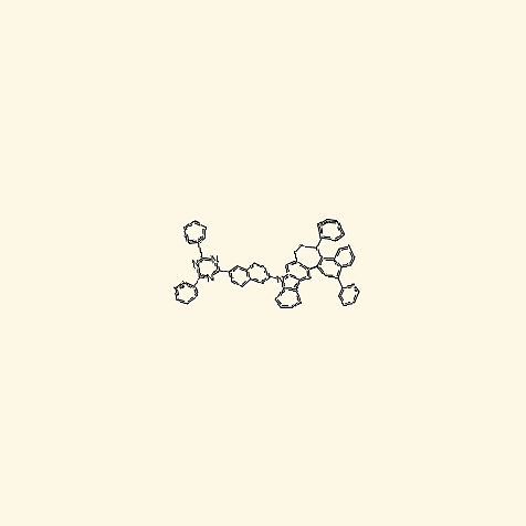 c1ccc(-c2nc(-c3ccccc3)nc(-c3ccc4cc(-n5c6ccccc6c6cc7c(cc65)CCC(c5ccccc5)c5c-7cc(-c6ccccc6)c6ccccc56)ccc4c3)n2)cc1